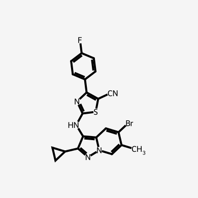 Cc1cn2nc(C3CC3)c(Nc3nc(-c4ccc(F)cc4)c(C#N)s3)c2cc1Br